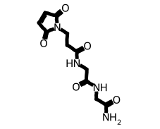 NC(=O)CNC(=O)CNC(=O)CCN1C(=O)C=CC1=O